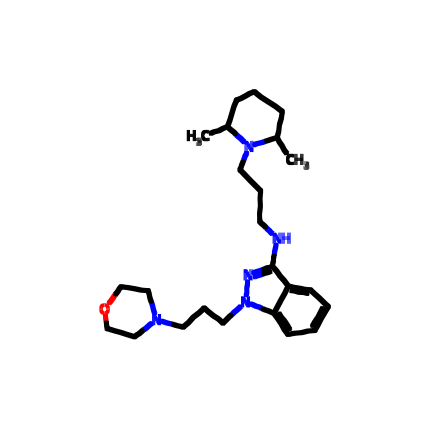 CC1CCCC(C)N1CCCNc1nn(CCCN2CCOCC2)c2ccccc12